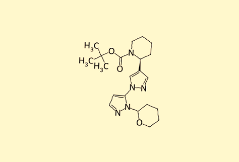 CC(C)(C)OC(=O)N1CCCC[C@H]1c1cnn(-c2ccnn2C2CCCCO2)c1